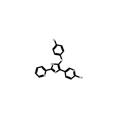 N#Cc1ccc(-c2nc(-c3ccccn3)[nH]c2Sc2ccc(Cl)cc2)cn1